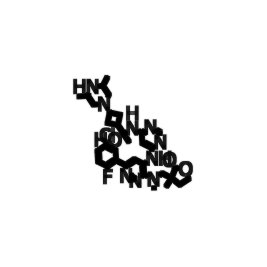 CC1CN(C2CC(C(C)(O)Nc3cc(Nc4cc(-c5cc(Cl)ccc5F)nnc4N(C)CC4(C)CCOC4=O)ncn3)C2)CC(C)N1